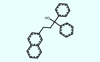 OC(CCc1ccc2ccccc2c1)(c1ccccc1)c1ccccc1